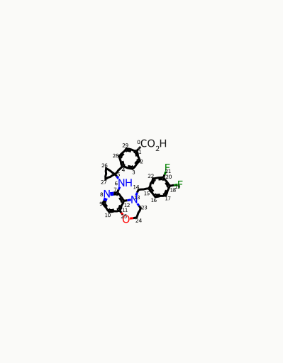 O=C(O)c1ccc(C2(Nc3nccc4c3N(Cc3ccc(F)c(F)c3)CCO4)CC2)cc1